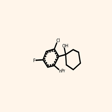 CCCc1cc(F)cc(Cl)c1C1(O)CCCCC1